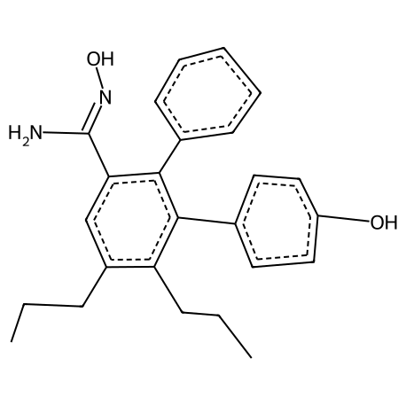 CCCc1cc(C(N)=NO)c(-c2ccccc2)c(-c2ccc(O)cc2)c1CCC